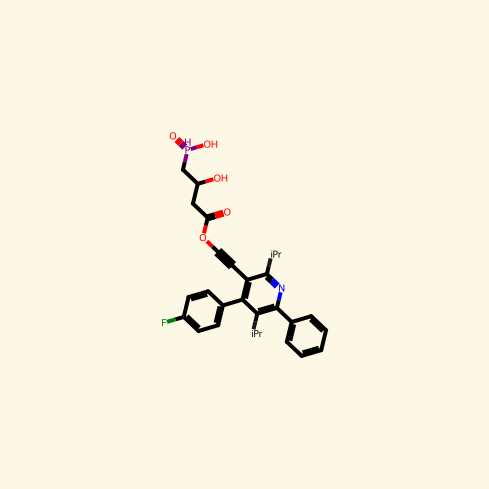 CC(C)c1nc(-c2ccccc2)c(C(C)C)c(-c2ccc(F)cc2)c1C#COC(=O)CC(O)C[PH](=O)O